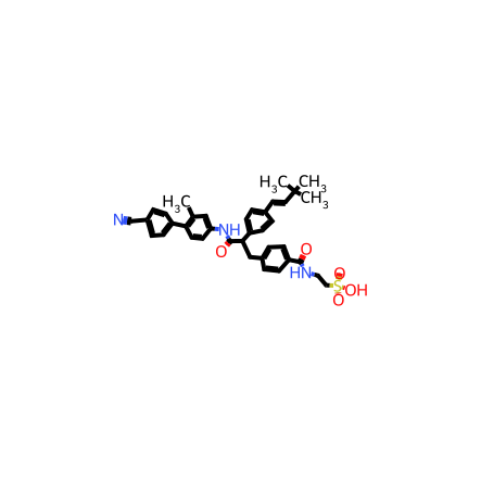 Cc1cc(NC(=O)C(Cc2ccc(C(=O)NCCS(=O)(=O)O)cc2)c2ccc(/C=C/C(C)(C)C)cc2)ccc1-c1ccc(C#N)cc1